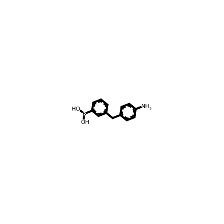 Nc1ccc(Cc2cccc(B(O)O)c2)cc1